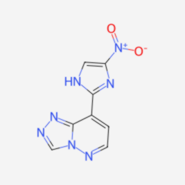 O=[N+]([O-])c1c[nH]c(-c2ccnn3cnnc23)n1